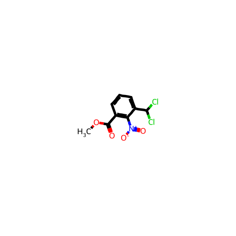 COC(=O)c1cccc(C(Cl)Cl)c1[N+](=O)[O-]